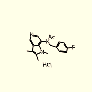 CC(=O)N(Cc1ccc(F)cc1)c1cncc2c(C)c(C)n(C)c12.Cl